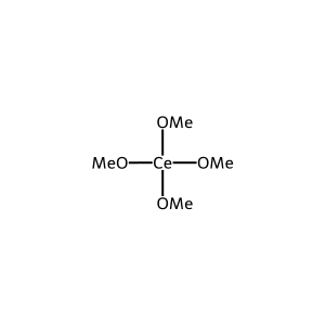 C[O][Ce]([O]C)([O]C)[O]C